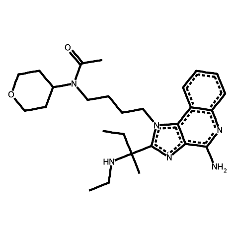 CCNC(C)(CC)c1nc2c(N)nc3ccccc3c2n1CCCCN(C(C)=O)C1CCOCC1